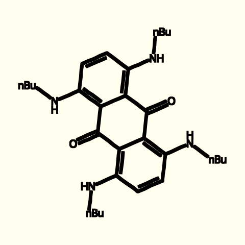 CCCCNc1ccc(NCCCC)c2c1C(=O)c1c(NCCCC)ccc(NCCCC)c1C2=O